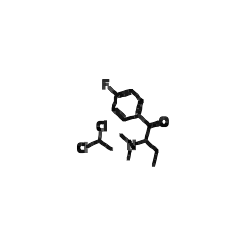 CC(Cl)Cl.CCC(C(=O)c1ccc(F)cc1)N(C)C